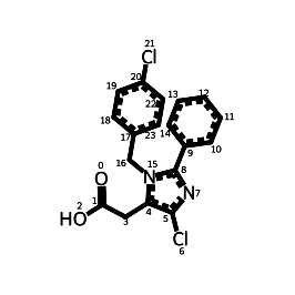 O=C(O)Cc1c(Cl)nc(-c2ccccc2)n1Cc1ccc(Cl)cc1